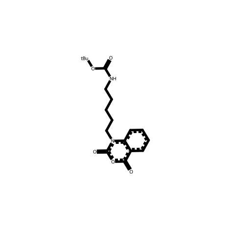 CC(C)(C)OC(=O)NCCCCCn1c(=O)oc(=O)c2ccccc21